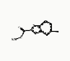 CCCCOC(=O)c1cc2cc(C)ccc2s1